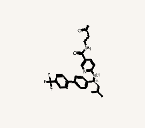 CC(=O)CCNC(=O)c1ccc(N[C@@H](CC(C)C)c2ccc(-c3ccc(C(F)(F)F)cc3)cc2)nc1